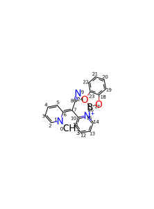 CN1C=CC=C/C1=C(\C#N)c1cccc[n+]1B1Oc2ccccc2O1